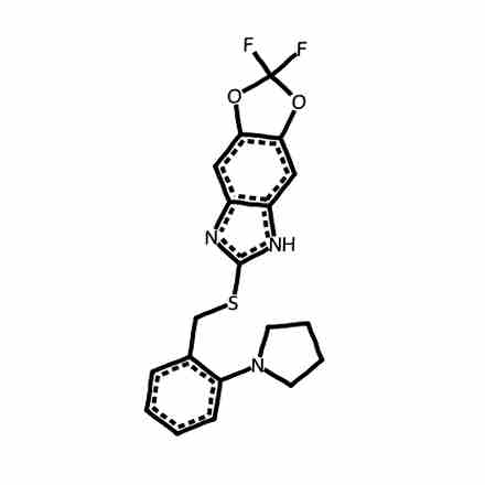 FC1(F)Oc2cc3nc(SCc4ccccc4N4CCCC4)[nH]c3cc2O1